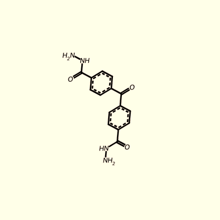 NNC(=O)c1ccc(C(=O)c2ccc(C(=O)NN)cc2)cc1